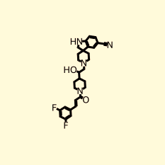 N#Cc1ccc2c(c1)C1(CCN(CC(O)C3CCN(C(=O)/C=C/c4cc(F)cc(F)c4)CC3)CC1)CN2